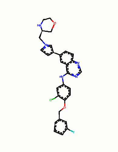 Fc1cccc(COc2ccc(Nc3ncnc4ccc(-c5ccn(C[C@@H]6COCCN6)c5)cc34)cc2Cl)c1